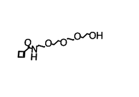 O=C(NCCOCCOCCOCCO)C1=CCC1